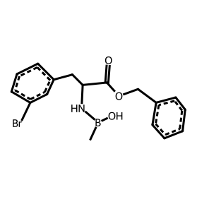 CB(O)NC(Cc1cccc(Br)c1)C(=O)OCc1ccccc1